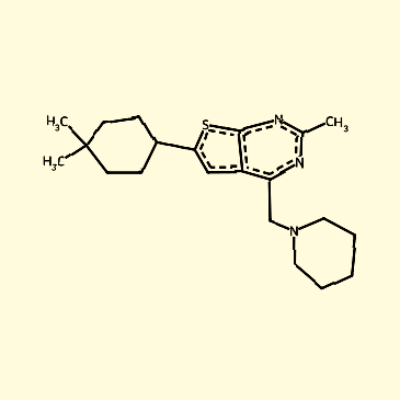 Cc1nc(CN2CCCCC2)c2cc(C3CCC(C)(C)CC3)sc2n1